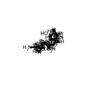 CC(C)C[C@H](NC(=O)[C@H](CC(C)C)NC(=O)[C@H](Cc1c[nH]cn1)NC(=O)[C@H](Cc1c[nH]cn1)NC(=O)[C@H](CC(C)C)NC(=O)[C@H](CC(C)C)NC(=O)[C@H](Cc1c[nH]cn1)NC(=O)[C@H](CC(C)C)NC(=O)[C@H](CC(C)C)NC(=O)[C@H](CCC(=O)O)NC(=O)[C@H](Cc1c[nH]cn1)NC(=O)[C@H](CC(C)C)NC(=O)[C@@H](N)CCCCN)C(=O)N[C@@H](Cc1c[nH]cn1)C(=O)N[C@@H](Cc1c[nH]cn1)C(=O)O